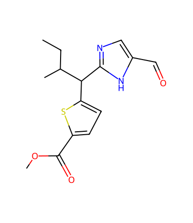 CCC(C)C(c1ncc(C=O)[nH]1)c1ccc(C(=O)OC)s1